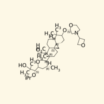 CC(C)O[C@@H](C1C[C@@H](C)[C@H]2C(O1)[C@H](O)[C@@]1(C)C3CC[C@H]4C(C)(C)C(O[C@H]5CN(C6COC6)CCO5)CC[C@@]45C[C@@]35CC[C@]21C)C(C)(C)O